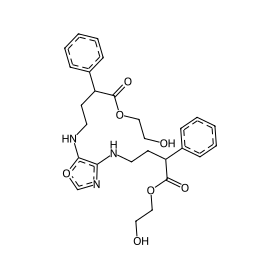 O=C(OCCO)C(CCNc1ncoc1NCCC(C(=O)OCCO)c1ccccc1)c1ccccc1